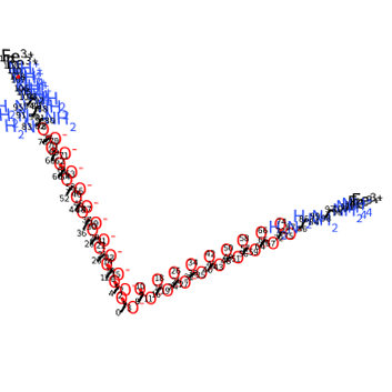 CC(=O)[O-].CC(=O)[O-].CC(=O)[O-].CC(=O)[O-].CC(=O)[O-].CC(=O)[O-].CC(=O)[O-].CC(=O)[O-].CC(=O)[O-].CC(=O)[O-].CC(=O)[O-].CC(=O)[O-].CC(=O)[O-].CC(=O)[O-].CC(=O)[O-].CC(=O)[O-].CC(=O)[O-].CC(=O)[O-].CC(=O)[O-].CC(=O)[O-].NCCN.NCCN.NCCN.NCCN.NCCN.[Fe+3].[Fe+3].[Fe+3].[Fe+3].[NH4+].[NH4+].[NH4+].[NH4+].[NH4+].[NH4+].[NH4+].[NH4+]